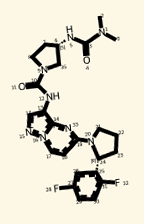 CN(C)C(=O)N[C@H]1CCN(C(=O)Nc2cnn3ccc(N4CCC[C@@H]4c4cc(F)ccc4F)nc23)C1